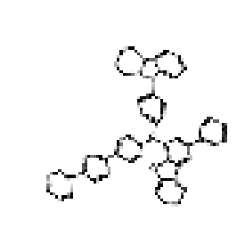 c1ccc(-c2ccc(-c3ccc(N(c4ccc(N5c6ccccc6C6CCCCC65)cc4)c4cc(-c5ccccc5)cc5c4oc4ccccc45)cc3)cc2)cc1